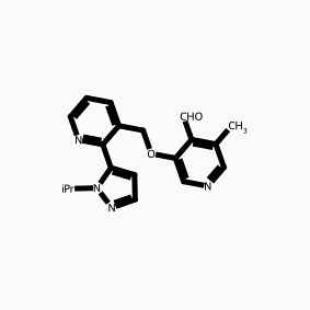 Cc1cncc(OCc2cccnc2-c2ccnn2C(C)C)c1C=O